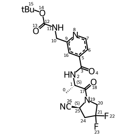 C[C@H](NC(=O)c1ccnc(CNC(=O)OC(C)(C)C)c1)C(=O)N1CC(F)(F)C[C@H]1C#N